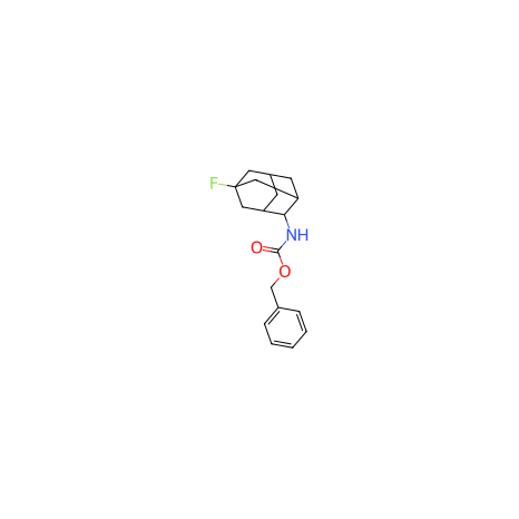 O=C(NC1C2CC3CC1CC(F)(C3)C2)OCc1ccccc1